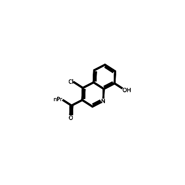 CCCC(=O)c1cnc2c(O)cccc2c1Cl